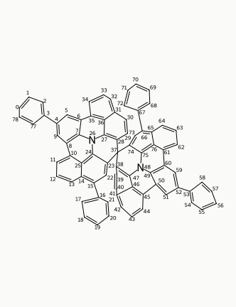 c1ccc(-c2cc3c4c(c2)-c2cccc5c(-c6ccccc6)cc6c(c25)N4c2c(ccc4cccc-3c24)C62c3ccc4cccc5c4c3N3c4c-5cc(-c5ccccc5)cc4-c4cccc5c(-c6ccccc6)cc2c3c45)cc1